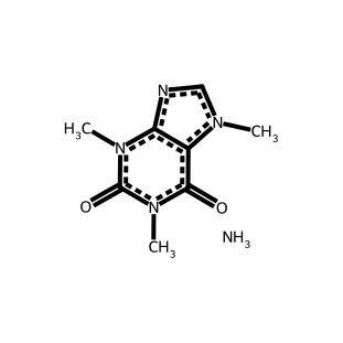 Cn1c(=O)c2c(ncn2C)n(C)c1=O.N